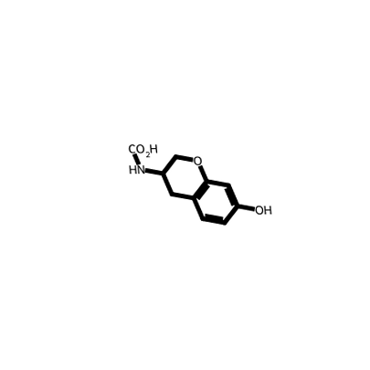 O=C(O)NC1COc2cc(O)ccc2C1